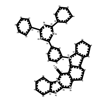 O=c1c2c(ccc3c4ccccc4n(-c4cccc(-c5nc(-c6ccccc6)nc(-c6ccccc6)n5)c4)c32)oc2nc3ccccc3n12